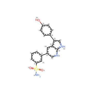 NS(=O)(=O)c1cccc(-c2cnc3[nH]cc(-c4ccc(O)cc4)c3c2)c1